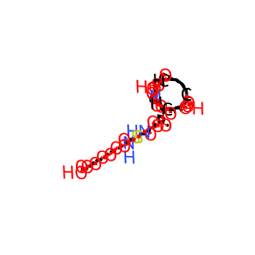 CO[C@H]1C[C@@H]2CC[C@@H](C)[C@@](O)(O2)C(=O)C(=O)N2CCCC[C@H]2C(=O)O[C@H]([C@H](C)C[C@@H]2CC[C@@H](OC(=O)CCC(=O)NCCSSCCNC(=O)OCCOCCOCCOCCOCCOCC(=O)O)[C@H](OC)C2)CC(=O)[C@H](C)/C=C(\C)[C@@H](O)[C@@H](OC)C(=O)[C@H](C)C[C@H](C)/C=C/C=C/C=C/1C